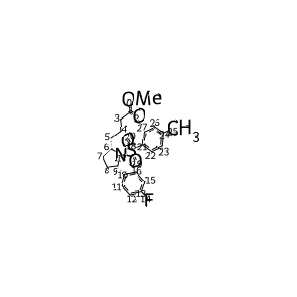 COC(=O)CCC[C@H]1CC[C@@H](c2ccc(F)cc2)N1S(=O)(=O)c1ccc(C)cc1